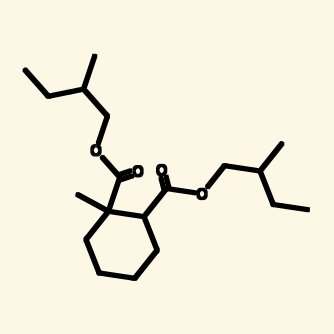 CCC(C)COC(=O)C1CCCCC1(C)C(=O)OCC(C)CC